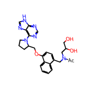 CC(=O)N(Cc1ccc(OCC2CCCN2c2ncnc3[nH]cnc23)c2ccccc12)CC(O)CO